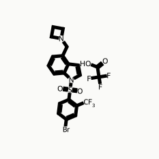 O=C(O)C(F)(F)F.O=S(=O)(c1ccc(Br)cc1C(F)(F)F)n1ccc2c(CN3CCC3)cccc21